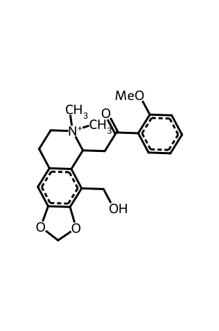 COc1ccccc1C(=O)CC1c2c(cc3c(c2CO)OCO3)CC[N+]1(C)C